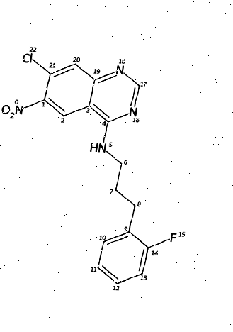 O=[N+]([O-])c1cc2c(NCCCc3ccccc3F)ncnc2cc1Cl